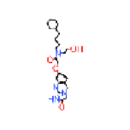 O=C1CN2Cc3ccc(OCC(=O)N(CCO)CCCCC4CCCCC4)cc3N=C2N1